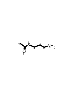 CC(=O)SCCCN